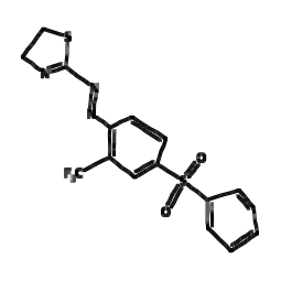 O=S(=O)(c1ccccc1)c1ccc(N=NC2=NCCS2)c(C(F)(F)F)c1